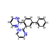 [c]1ccnc(-c2cc(-c3ccccc3)ccc2-c2ncccn2)n1